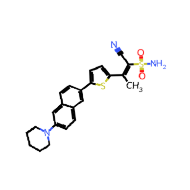 C/C(=C(/C#N)S(N)(=O)=O)c1ccc(-c2ccc3cc(N4CCCCC4)ccc3c2)s1